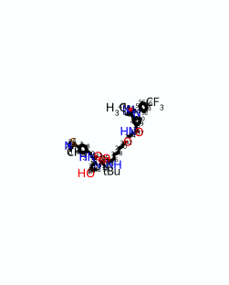 Cc1ncsc1-c1ccc(CNC(=O)[C@@H]2C[C@@H](O)CN2C(=O)C(NC(=O)CCCCCCOCCNC(=O)c2ccc3c(c2)c2cn(C)nc2n3-c2ccc(C(F)(F)F)cc2)C(C)(C)C)cc1